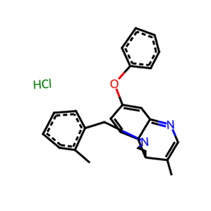 CC1=CN=C2C=C(Oc3ccccc3)C=CC23C1CCN3Cc1ccccc1C.Cl